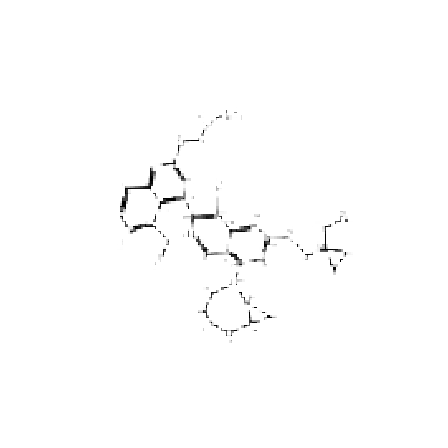 CCc1c(F)ccc2cc(OCOC)cc(-c3ncc4c(N5CCCOC6CC65)nc(OCC5(CO)CC5)nc4c3F)c12